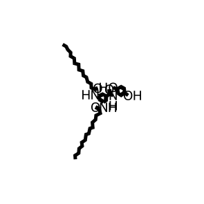 CCCCCCCCCCCCCCCC(=O)Nc1cc(NC(=O)CCCCCCCCCCCCCCC)cc(C(=O)Nc2cc(O)ccc2O)c1